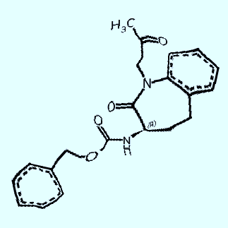 CC(=O)CN1C(=O)[C@H](NC(=O)OCc2ccccc2)CCc2ccccc21